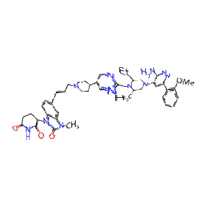 CCC1CN(c2cc(-c3ccccc3OC)nnc2N)CC(C)N1c1ncc(C2CCN(CCCc3ccc4c(c3)n(C)c(=O)n4C3CCC(=O)NC3=O)CC2)cn1